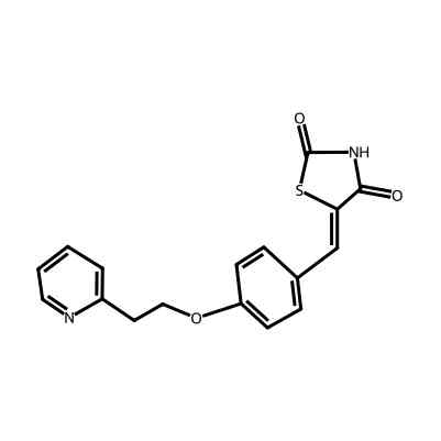 O=C1NC(=O)/C(=C/c2ccc(OCCc3ccccn3)cc2)S1